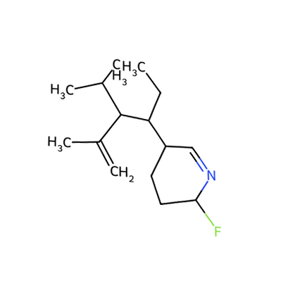 C=C(C)C(C(C)C)C(CC)C1C=NC(F)CC1